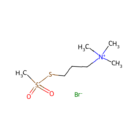 C[N+](C)(C)CCCSS(C)(=O)=O.[Br-]